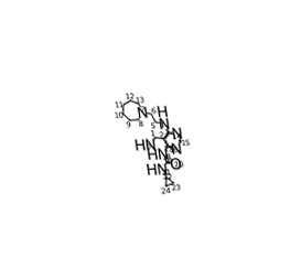 N=Cc1c(NCCN2CCCCCC2)ncnc1NC(=O)NC1CC1